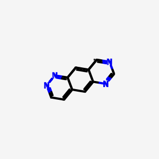 [c]1ncnc2cc3ccnnc3cc12